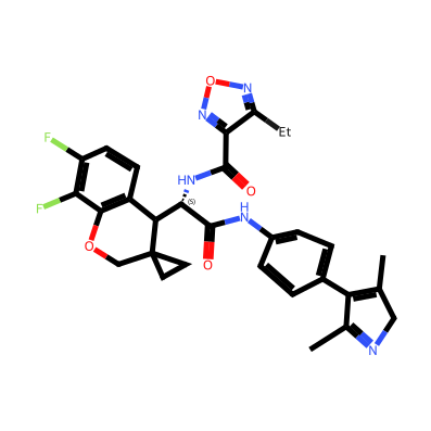 CCc1nonc1C(=O)N[C@H](C(=O)Nc1ccc(C2=C(C)CN=C2C)cc1)C1c2ccc(F)c(F)c2OCC12CC2